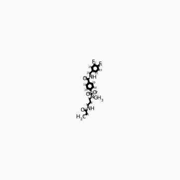 C=CC(=O)NCCCN(C)S(=O)(=O)c1ccc(C(=O)NCc2ccc(F)c(F)c2)cc1